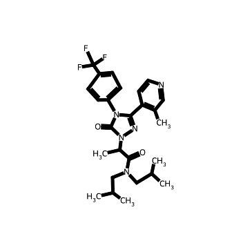 Cc1cnccc1-c1nn(C(C)C(=O)N(CC(C)C)CC(C)C)c(=O)n1-c1ccc(C(F)(F)F)cc1